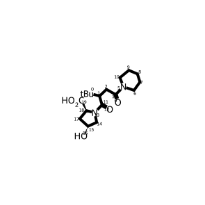 CC(C)(C)C(CC(=O)N1CCCCC1)C(=O)N1C[C@H](O)C[C@H]1C(=O)O